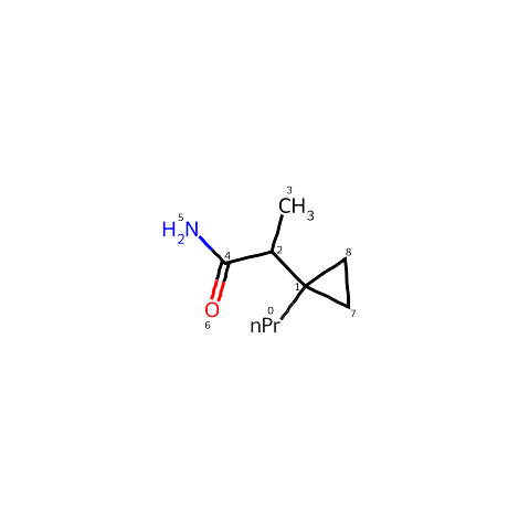 CCCC1(C(C)C(N)=O)CC1